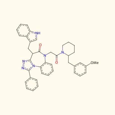 COc1cccc(CC2CCCCN2C(=O)CN2C(=O)C(Cc3c[nH]c4ccccc34)c3nnc(-c4ccccc4)n3-c3ccccc32)c1